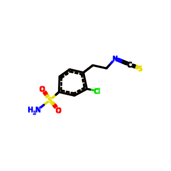 NS(=O)(=O)c1ccc(CCN=C=S)c(Cl)c1